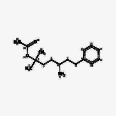 CC(C)(CCC(N)CCc1ccccc1)OC(N)=O